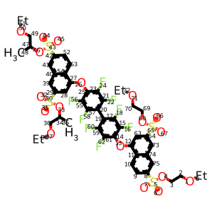 CCOCCOS(=O)(=O)c1ccc2c(Oc3c(F)c(F)c(-c4c(F)c(F)c(Oc5cc(S(=O)(=O)OC(C)COCC)cc6cc(S(=O)(=O)OC(C)COCC)ccc56)c(F)c4F)c(F)c3F)cc(S(=O)(=O)OCCOCC)cc2c1